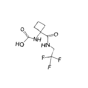 O=C(O)NC1(C(=O)NCC(F)(F)F)CCC1